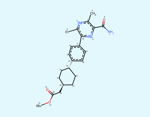 CCc1nc(C)c(C(N)=O)nc1-c1ccc([C@H]2CC[C@H](CC(=O)OC(C)(C)C)CC2)cc1